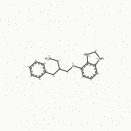 NCC(COc1cccc2c1N[CH]N2)Cc1ccccc1